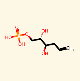 C=CCC(O)[C@@H](O)COP(=O)(O)O